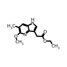 CCOC(=O)Cc1c[nH]c2cc(C)c(OC)nc12